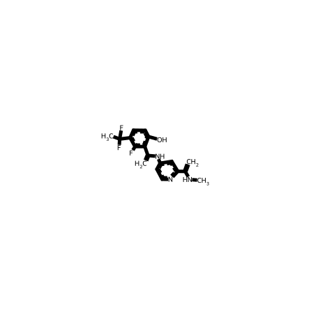 C=C(NC)c1cc(NC(=C)c2c(O)ccc(C(C)(F)F)c2F)ccn1